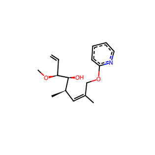 C=C[C@H](OC)[C@@H](O)[C@H](C)/C=C(/C)COc1ccccn1